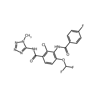 Cn1nnnc1NC(=O)c1ccc(OC(F)F)c(NC(=O)c2ccc(F)cc2)c1Cl